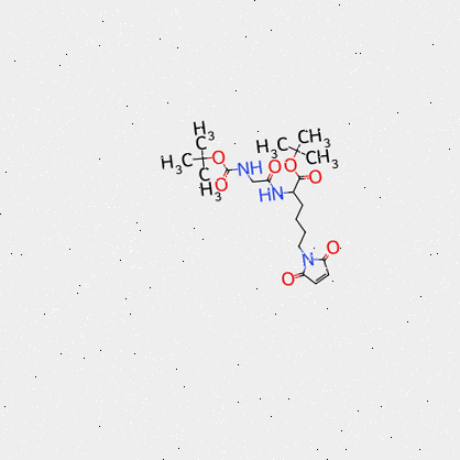 CC(C)(C)OC(=O)NCC(=O)NC(CCCCN1C(=O)C=CC1=O)C(=O)OC(C)(C)C